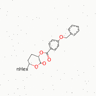 CCCCCCC1CCC(OC(=O)c2ccc(OCc3ccccc3)cc2)C(=O)O1